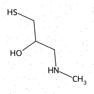 CNCC(O)CS